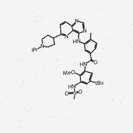 COc1c(NC(=O)c2ccc(C)c(Nc3ncnc4ccc(C5CCN(C(C)C)CC5)nc34)c2)cc(C(C)(C)C)cc1NS(C)(=O)=O